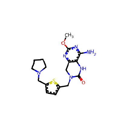 COc1nc(N)c2c(n1)CN(Cc1ccc(CN3CCCC3)s1)C(=O)N2